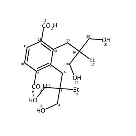 CCC(CO)(CO)Cc1c(C(=O)O)ccc(C(=O)O)c1CC(CC)(CO)CO